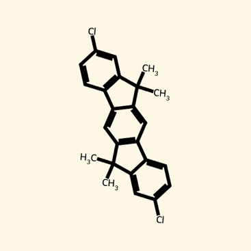 CC1(C)c2cc(Cl)ccc2-c2cc3c(cc21)-c1ccc(Cl)cc1C3(C)C